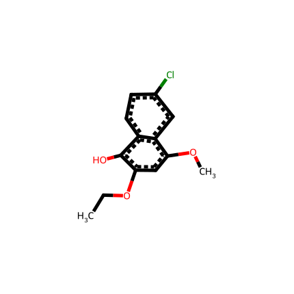 CCOc1cc(OC)c2cc(Cl)ccc2c1O